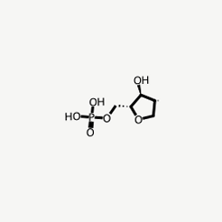 O=P(O)(O)OC[C@H]1OC[CH][C@@H]1O